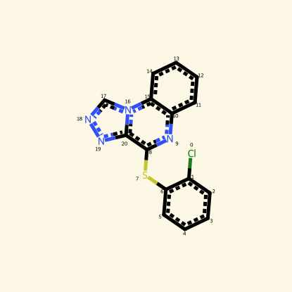 Clc1ccccc1Sc1nc2ccccc2n2cnnc12